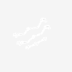 CCSCC.CCSCC.[Cl][Pt][Cl]